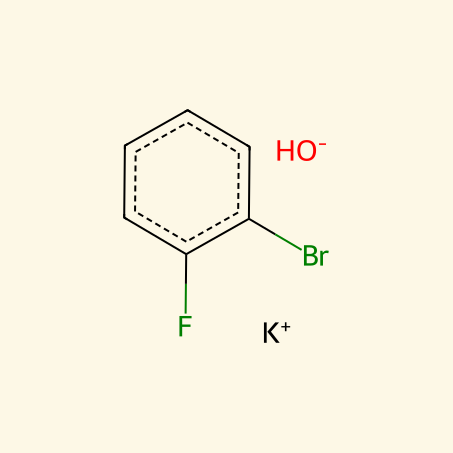 Fc1ccccc1Br.[K+].[OH-]